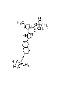 CC1=CC(c2ncc(-c3ccc4cc(C#C[Si](C)(C)C)ccc4c3)[nH]2)N(C(=O)OC(C)(C)C)C1